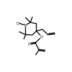 C=CCC1(OC(=O)C(=C)C)CC(C)(C)N(Cl)C(C)(C)C1